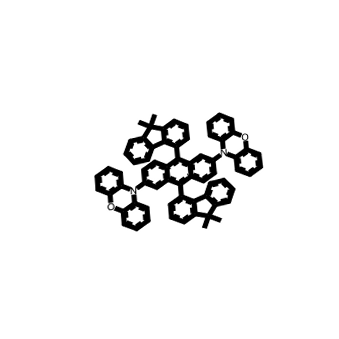 CC1(C)c2ccccc2-c2c(-c3c4ccc(N5c6ccccc6Oc6ccccc65)cc4c(-c4cccc5c4-c4ccccc4C5(C)C)c4ccc(N5c6ccccc6Oc6ccccc65)cc34)cccc21